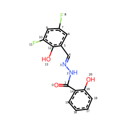 O=C(NN=Cc1cc(F)cc(F)c1O)c1ccccc1O